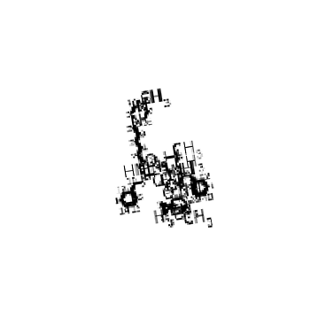 CC(C)C[C@H](NC(=O)[C@H](CCc1ccccc1)NC(=O)CCCCCN1CCN(C)CC1)C(=O)N[C@@H](Cc1ccccc1)C(=O)N[C@@H](CC(C)C)C(=O)C1(C)CC1